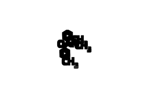 Cc1ccc(C(=O)C(=CN(C)C)c2ccccc2)cc1